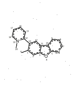 Cc1cc2oc3ncccc3c2cc1-c1cccc[n+]1C